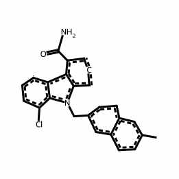 Cc1ccc2cc(Cn3c4cccc(C(N)=O)c4c4[c]ccc(Cl)c43)ccc2c1